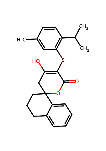 Cc1ccc(C(C)C)c(SC2=C(O)CC3(CCCc4ccccc43)OC2=O)c1